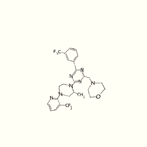 CC1CN(c2ncccc2C(F)(F)F)CCN1c1nc(CN2CCOCC2)nc(-c2cccc(C(F)(F)F)c2)n1